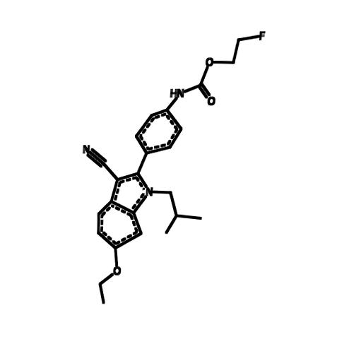 CCOc1ccc2c(C#N)c(-c3ccc(NC(=O)OCCF)cc3)n(CC(C)C)c2c1